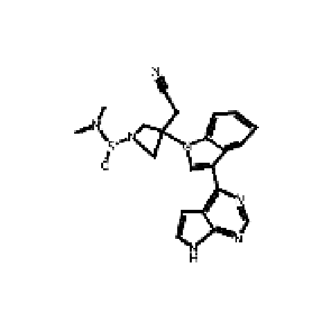 CN(C)[S+]([O-])N1CC(CC#N)(n2cc(-c3ncnc4[nH]ccc34)c3ccccc32)C1